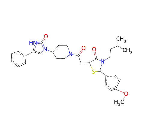 COc1ccc(C2SC(CC(=O)N3CCC(n4cc(-c5ccccc5)[nH]c4=O)CC3)C(=O)N2CCC(C)C)cc1